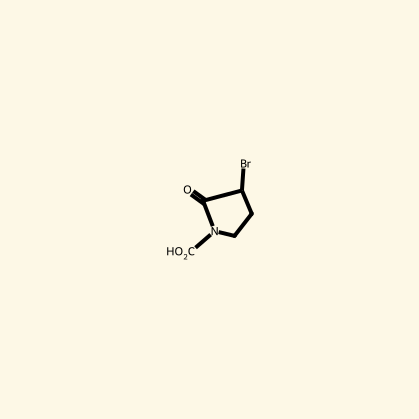 O=C(O)N1CCC(Br)C1=O